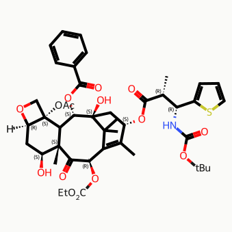 CCOC(=O)O[C@H]1C(=O)[C@@]2(C)C([C@H](OC(=O)c3ccccc3)[C@]3(O)C[C@H](OC(=O)[C@H](C)[C@@H](NC(=O)OC(C)(C)C)c4cccs4)C(C)=C1C3(C)C)[C@]1(OC(C)=O)CO[C@@H]1C[C@@H]2O